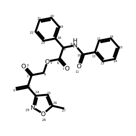 C=C(C(=O)COC(=O)C(NC(=O)c1ccccc1)c1ccccc1)c1cc(C)on1